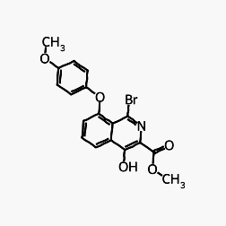 COC(=O)c1nc(Br)c2c(Oc3ccc(OC)cc3)cccc2c1O